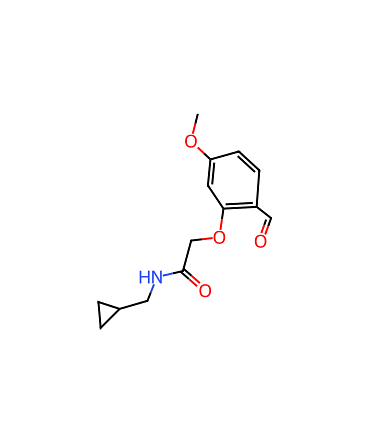 COc1ccc(C=O)c(OCC(=O)NCC2CC2)c1